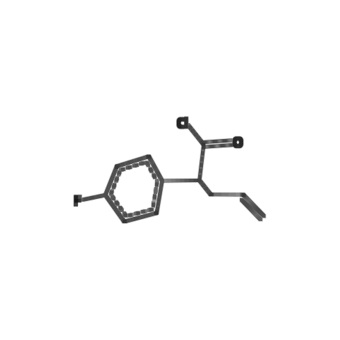 C=CCC(C(=O)Cl)c1ccc(F)cc1